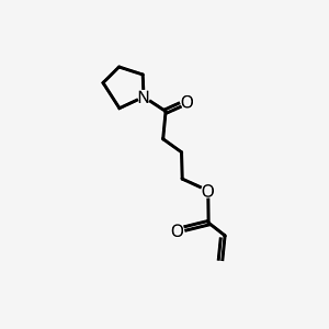 C=CC(=O)OCCCC(=O)N1CCCC1